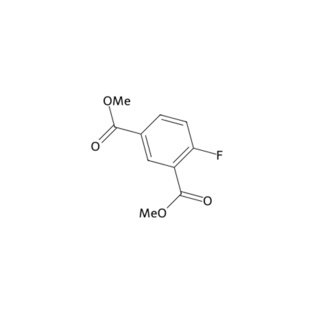 COC(=O)c1ccc(F)c(C(=O)OC)c1